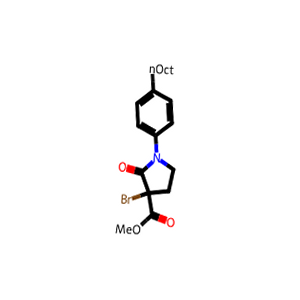 CCCCCCCCc1ccc(N2CCC(Br)(C(=O)OC)C2=O)cc1